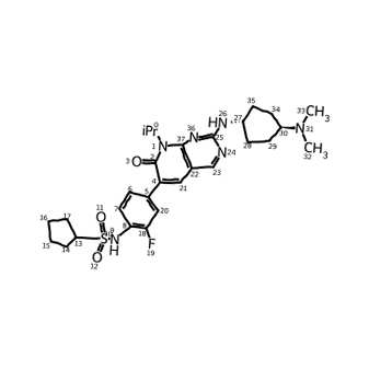 CC(C)n1c(=O)c(-c2ccc(NS(=O)(=O)C3CCCC3)c(F)c2)cc2cnc(N[C@H]3CC[C@H](N(C)C)CC3)nc21